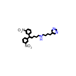 O=[N+]([O-])c1cccc(C(=CCCCNCCCCc2cncnc2)c2cccc([N+](=O)[O-])c2)c1